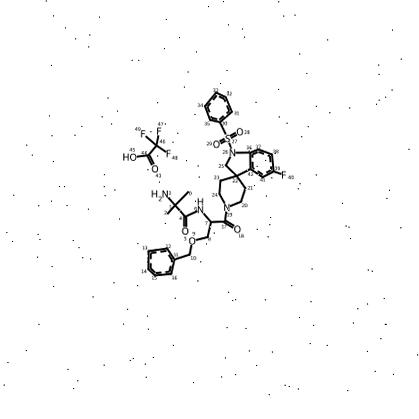 CC(C)(N)C(=O)NC(COCc1ccccc1)C(=O)N1CCC2(CC1)CN(S(=O)(=O)c1ccccc1)c1ccc(F)cc12.O=C(O)C(F)(F)F